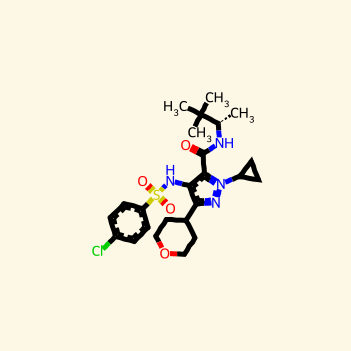 C[C@H](NC(=O)c1c(NS(=O)(=O)c2ccc(Cl)cc2)c(C2CCOCC2)nn1C1CC1)C(C)(C)C